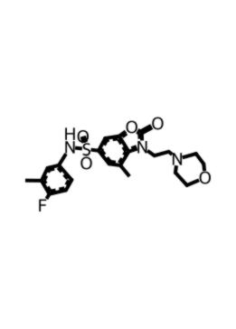 Cc1cc(NS(=O)(=O)c2cc(C)c3c(c2)oc(=O)n3CCN2CCOCC2)ccc1F